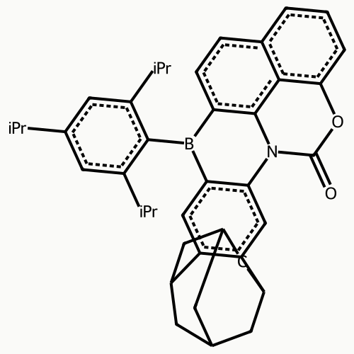 CC(C)c1cc(C(C)C)c(B2c3cc4c(cc3N3C(=O)Oc5cccc6ccc2c3c56)C2CC3CC(CC4C3)C2)c(C(C)C)c1